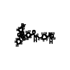 O=C(NCCc1ccc(C2=NCCN2)cc1)c1ccc(S(=O)(=O)N(Oc2ccc(Br)cc2)c2ccccc2)cc1